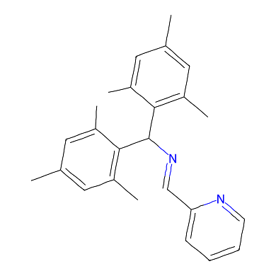 Cc1cc(C)c(C(/N=C/c2ccccn2)c2c(C)cc(C)cc2C)c(C)c1